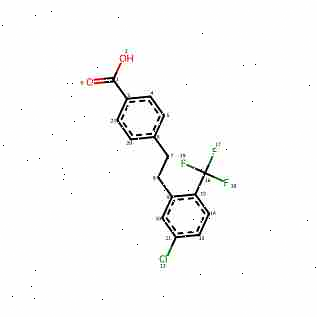 O=C(O)c1ccc(CCc2cc(Cl)ccc2C(F)(F)F)cc1